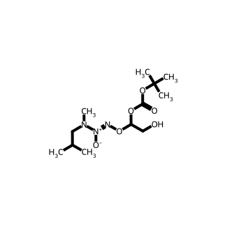 CC(C)CN(C)[N+]([O-])=NOC(CO)OC(=O)OC(C)(C)C